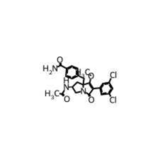 COC1=C(c2cc(Cl)cc(Cl)c2)C(=O)N2C[C@@H](NC(C)=O)CC12Cc1ccc(C(N)=O)cc1